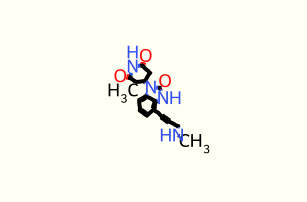 CNCC#Cc1cccc2c1[nH]c(=O)n2C1CC(=O)NC(=O)C1C